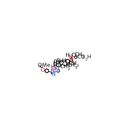 CCCC[C@@H]1CC[C@]2(C(=O)N3CCC[C@H]3c3ncc(-c4ccc(OCCOC)cc4)[nH]3)CC[C@]3(C)[C@H](CC[C@@H]4[C@@]5(C)CC[C@H](OC(=O)[C@H]6C[C@@H](C(=O)O)C6(C)C)C(C)(C)[C@@H]5CC[C@]43C)[C@@H]12